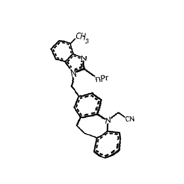 CCCc1nc2c(C)cccc2n1Cc1ccc2c(c1)CCc1ccccc1N2CC#N